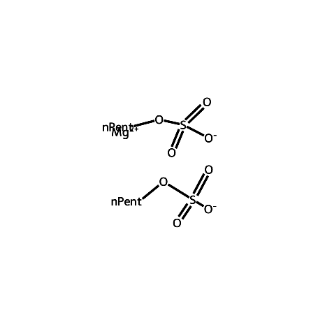 CCCCCOS(=O)(=O)[O-].CCCCCOS(=O)(=O)[O-].[Mg+2]